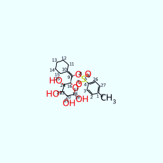 Cc1ccc(S(=O)(=O)OC(=C2CCCCC2)[C@H]2O[C@H](O)[C@H](O)[C@@H](O)[C@H]2O)cc1